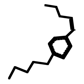 CCC/C=[C]\c1ccc(CCCCC)cc1